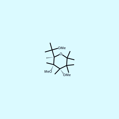 COC(C)(C)[C@@]1(C)OC(C)(C)C(C)(C)[C@](C)(OC)[C@]1(C)OC